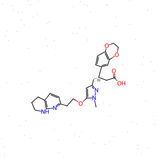 Cn1nc(C[C@@H](CC(=O)O)c2ccc3c(c2)OCCO3)cc1OCCc1ccc2c(n1)NCCC2